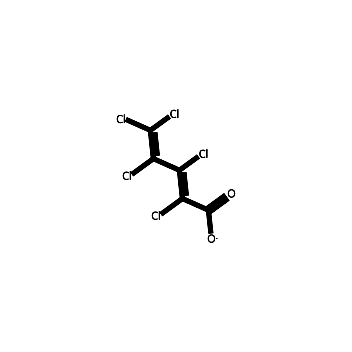 [O]C(=O)C(Cl)=C(Cl)C(Cl)=C(Cl)Cl